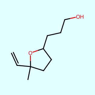 C=CC1(C)CCC(CCCO)O1